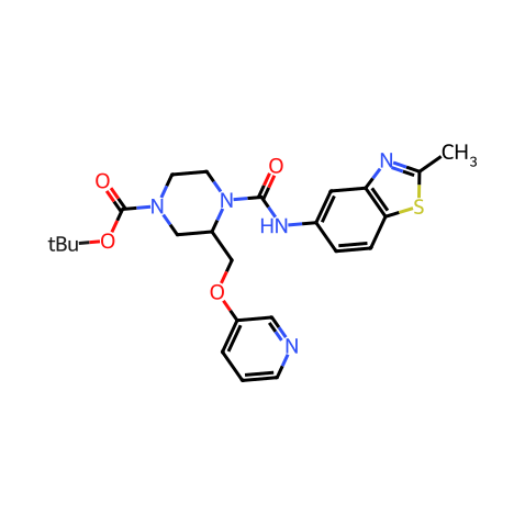 Cc1nc2cc(NC(=O)N3CCN(C(=O)OC(C)(C)C)CC3COc3cccnc3)ccc2s1